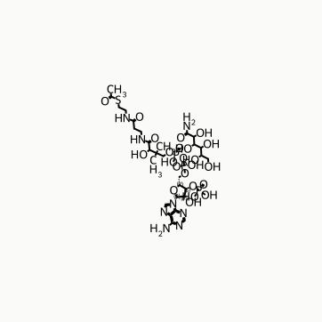 CC(=O)SCCNC(=O)CCNC(=O)C(O)C(C)(C)COP(=O)(O)OP(=O)(O)OC[C@H]1O[C@@H](n2cnc3c(N)ncnc32)[C@H](O)[C@@H]1OP(=O)(O)O.NC(=O)C(O)C(O)C(O)C(O)CO